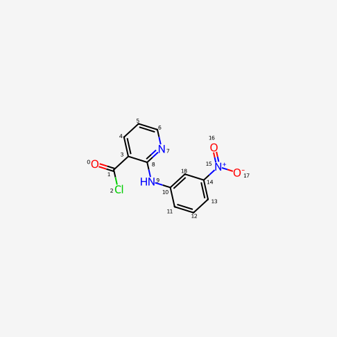 O=C(Cl)c1cccnc1Nc1cccc([N+](=O)[O-])c1